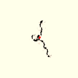 CC(C)C(=O)NCC(C)(C)OCC(C)(C)CNC(=O)CC(C)(C)OCC(C)(C)CNC(=O)CC[C@H](NC(=O)CC(C)(C)COCC(C)(C)CN)C(=O)NCC(C)(C)COCC(C)(C)CC(=O)NCC(C)(C)OCC(C)(C)CNC(=O)C(C)(C)CC(C)(C)C